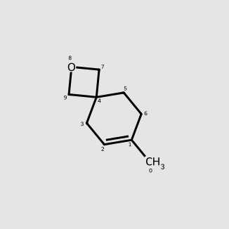 CC1=CCC2(CC1)COC2